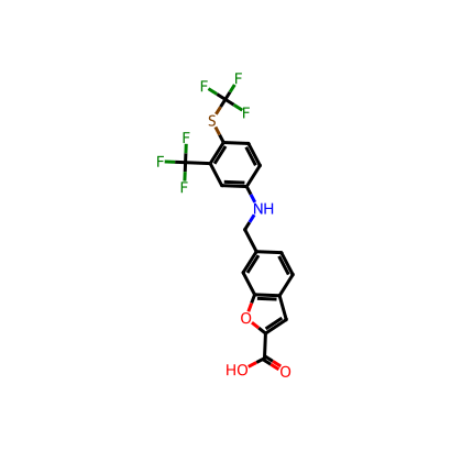 O=C(O)c1cc2ccc(CNc3ccc(SC(F)(F)F)c(C(F)(F)F)c3)cc2o1